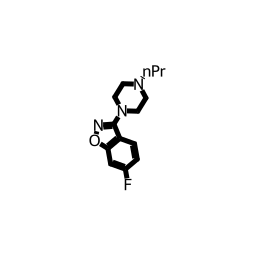 CCCN1CCN(c2noc3cc(F)ccc23)CC1